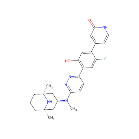 CN(c1ccc(-c2cc(F)c(-c3cc[nH]c(=O)c3)cc2O)nn1)[C@@H]1C[C@]2(C)CCC[C@](C)(C1)N2